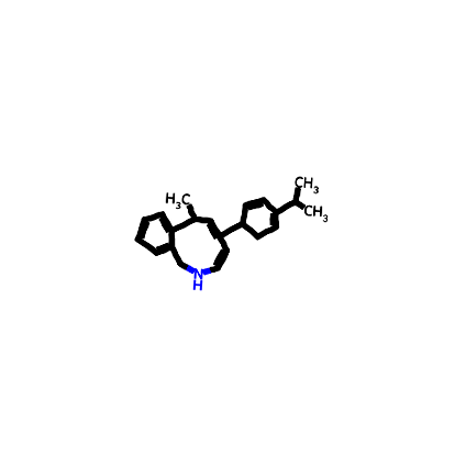 CC(C)C1=CCC(C2=C/C(C)c3ccccc3CN/C=C\2)C=C1